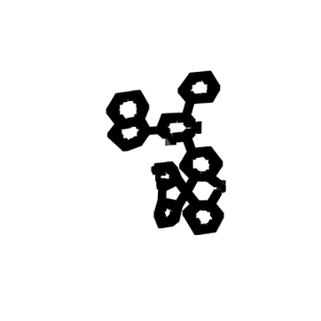 c1ccc(-c2cc(-c3cccc4ccccc34)nc(-c3ccc4c(c3)C3(c5ccccc5S4)c4ccccc4-c4ccccc43)n2)cc1